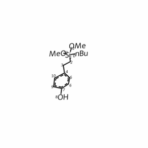 CCCC[Si](CCc1ccc(O)cc1)(OC)OC